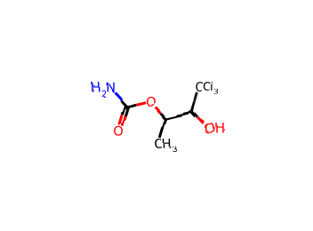 CC(OC(N)=O)C(O)C(Cl)(Cl)Cl